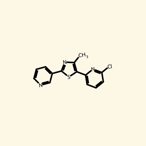 Cc1nc(-c2cccnc2)sc1-c1cccc(Cl)n1